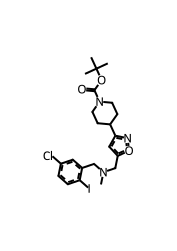 CN(Cc1cc(C2CCN(C(=O)OC(C)(C)C)CC2)no1)Cc1cc(Cl)ccc1I